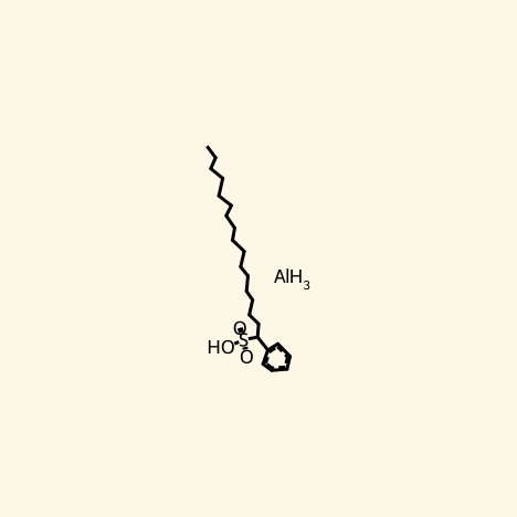 CCCCCCCCCCCCCCCCC(c1ccccc1)S(=O)(=O)O.[AlH3]